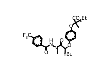 CCCCC(Oc1ccc(OC(C)(C)C(=O)OCC)cc1)C(=O)NNC(=O)c1ccc(C(F)(F)F)cc1